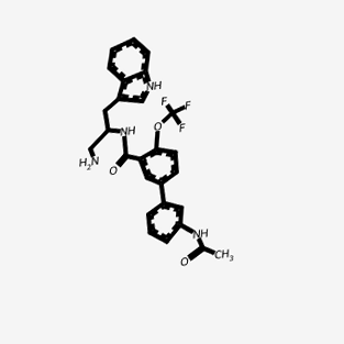 CC(=O)Nc1cccc(-c2ccc(OC(F)(F)F)c(C(=O)NC(CN)Cc3c[nH]c4ccccc34)c2)c1